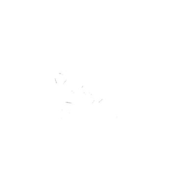 CCOC(=O)C(=O)NNC(=O)[C@@H](Cc1ccccc1)NCC(=O)OC(C)(C)C